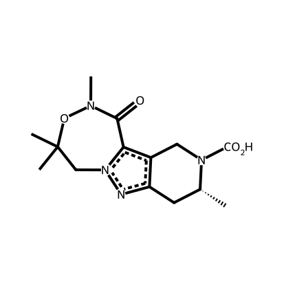 C[C@@H]1Cc2nn3c(c2CN1C(=O)O)C(=O)N(C)OC(C)(C)C3